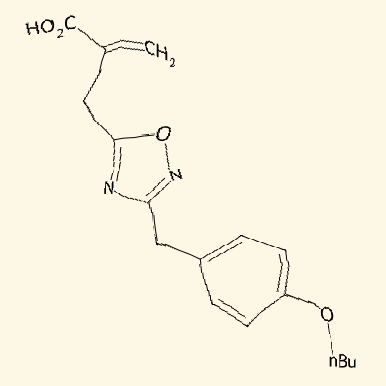 C=C(Cc1nc(Cc2ccc(OCCCC)cc2)no1)C(=O)O